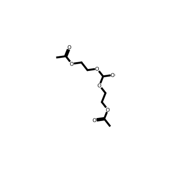 CC(=O)OCCOC([O])OCCOC(C)=O